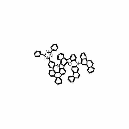 c1ccc(-c2nc(-c3ccccc3)nc(-c3cccc(-n4c5c(ccc6c7ccccc7c7ccccc7c65)c5c6oc7c(N(c8ccc9c(ccc%10ccccc%109)c8)c8cc9c%10ccccc%10ccc9c9ccccc89)cccc7c6c6ccccc6c54)c3)n2)cc1